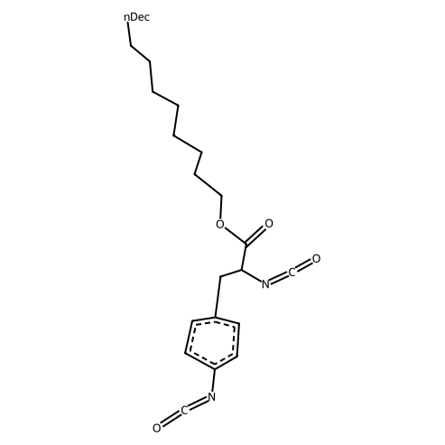 CCCCCCCCCCCCCCCCCCOC(=O)C(Cc1ccc(N=C=O)cc1)N=C=O